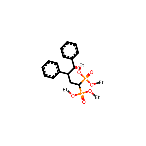 CCOP(=O)(OCC)C(CC(C(=O)c1ccccc1)c1ccccc1)P(=O)(OCC)OCC